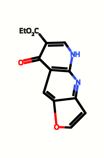 CCOC(=O)c1c[nH]c2nc3ccoc3cc2c1=O